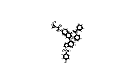 Cc1ccc(S(=O)(=O)n2ccc3c(-c4cc(N=C(c5ccccc5)c5ccccc5)c5cnc(NC(=O)C6CC6C#N)cc5c4)ccnc32)cc1